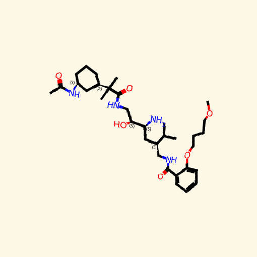 COCCCCOc1ccccc1C(=O)NC[C@@H](C[C@H](N)[C@@H](O)CNC(=O)C(C)(C)[C@@H]1CCC[C@H](NC(C)=O)C1)C(C)C